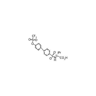 CC(C)[C@@H](NS(=O)(=O)c1ccc(-c2ccc(OS(=O)(=O)C(F)(F)F)cc2)cc1)C(=O)O